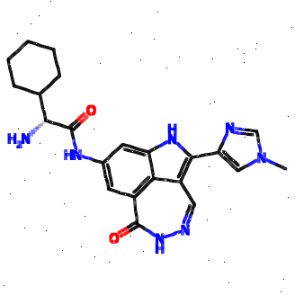 Cn1cnc(-c2[nH]c3cc(NC(=O)[C@H](N)C4CCCCC4)cc4c3c2C=NNC4=O)c1